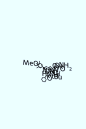 COc1c(C)cc(/C(C[C@H]2C[C@@H](C(=O)N[C@@H](CC3CC3)C(=O)C(N)=O)N(C(=O)[C@@H](NC(=O)CC3CCCCC3)C(C)(C)C)C2)=N/O)cc1C